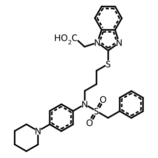 O=C(O)Cn1c(SCCCN(c2ccc(N3CCCCC3)cc2)S(=O)(=O)Cc2ccccc2)nc2ccccc21